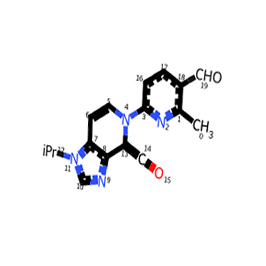 Cc1nc(N2C=Cc3c(ncn3C(C)C)C2=C=O)ccc1C=O